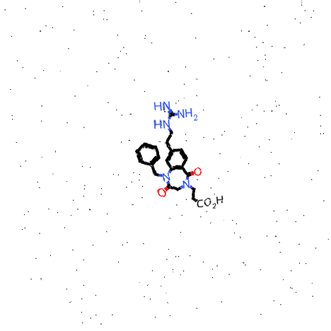 N=C(N)NCCc1ccc2c(c1)N(Cc1ccccc1)C(=O)CN(CCC(=O)O)C2=O